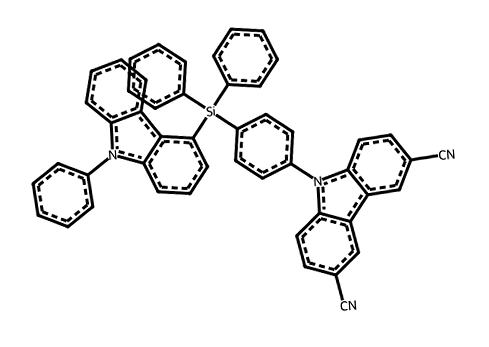 N#Cc1ccc2c(c1)c1cc(C#N)ccc1n2-c1ccc([Si](c2ccccc2)(c2ccccc2)c2cccc3c2c2ccccc2n3-c2ccccc2)cc1